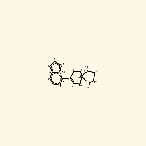 C1=C(c2cccc3ccnn23)CCC2(C1)OCCO2